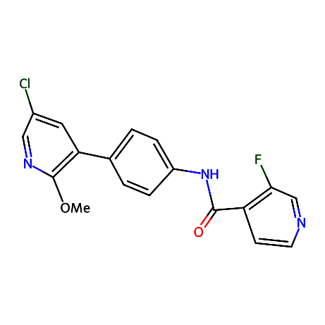 COc1ncc(Cl)cc1-c1ccc(NC(=O)c2ccncc2F)cc1